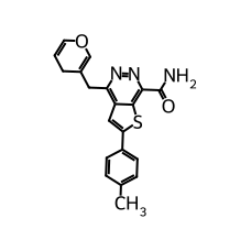 Cc1ccc(-c2cc3c(CC4=COC=CC4)nnc(C(N)=O)c3s2)cc1